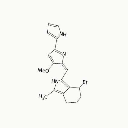 CCC1CCCc2c(C)[nH]c(/C=C3/N=C(c4ccc[nH]4)C=C3OC)c21